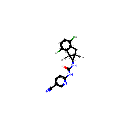 N#Cc1ccc(NC(=O)NC2[C@H]3Cc4c(F)ccc(F)c4[C@@H]23)nc1